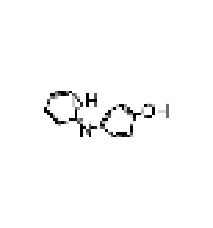 Oc1ccc(/N=c2/[c]ccc[nH]2)cc1